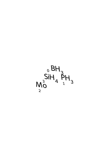 B.P.[Mo].[SiH4]